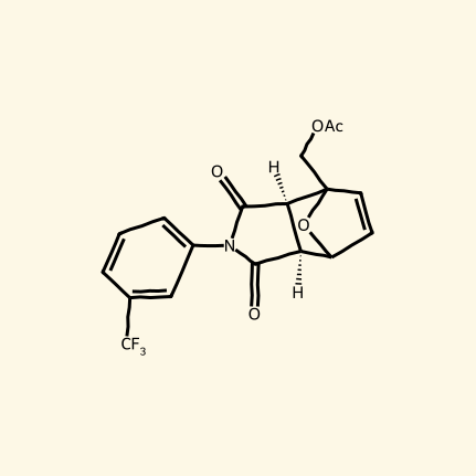 CC(=O)OCC12C=CC(O1)[C@H]1C(=O)N(c3cccc(C(F)(F)F)c3)C(=O)[C@H]12